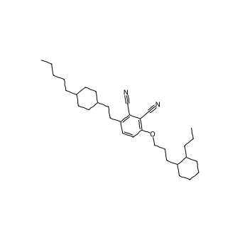 CCCCCC1CCC(CCc2ccc(OCCCC3CCCCC3CCC)c(C#N)c2C#N)CC1